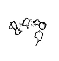 CN1CCN(c2cccc3nc([C@H]4CCC[C@@H](c5nccc6occc56)N4C)[nH]c23)CC1